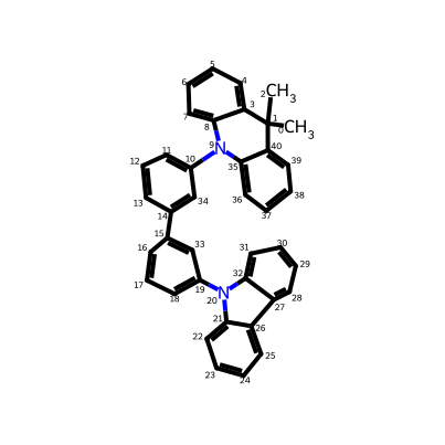 CC1(C)c2ccccc2N(c2cccc(-c3cccc(-n4c5ccccc5c5ccccc54)c3)c2)c2ccccc21